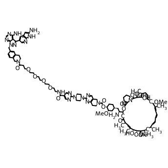 CO[C@H]1C[C@@H]2CC[C@@H](C)[C@@](O)(O2)C(=O)C(=O)N2CCCC[C@H]2C(=O)O[C@H]([C@H](N)C[C@@H]2CC[C@@H](OC(=O)N3CCc4nc(N5CCN(c6ncc(C(=O)NCCOCCOCCOCCOCCC(=O)N7CCc8cc(Cn9nc(-c%10cnc%11[nH]c(N)cc%11c%10)c%10c(N)ncnc%109)ccc8C7)cn6)CC5)ncc4C3)[C@H](OC)C2)CC(=O)[C@H](C)/C=C(\C)[C@@H](O)[C@@H](OC)C(=O)[C@H](C)C[C@H](C)/C=C/C=C/C=C/1C